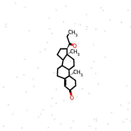 CCC(=O)[C@@H]1CCC2C3CCC4=CC(=O)CC[C@]4(C)C3CC[C@@]21C